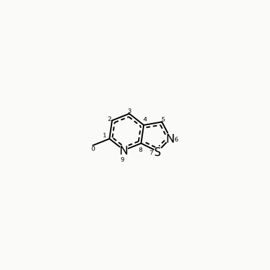 Cc1ccc2cnsc2n1